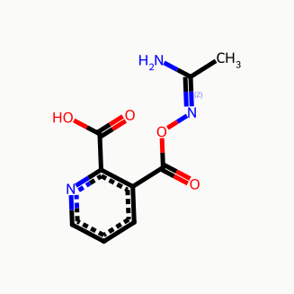 C/C(N)=N/OC(=O)c1cccnc1C(=O)O